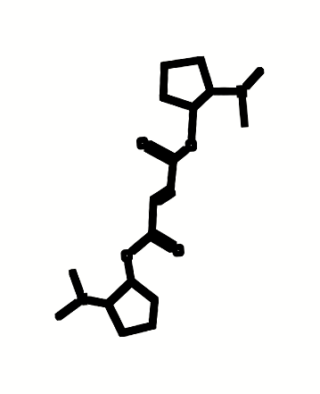 CN(C)C1CCCC1OC(=O)/C=C/C(=O)OC1CCCC1N(C)C